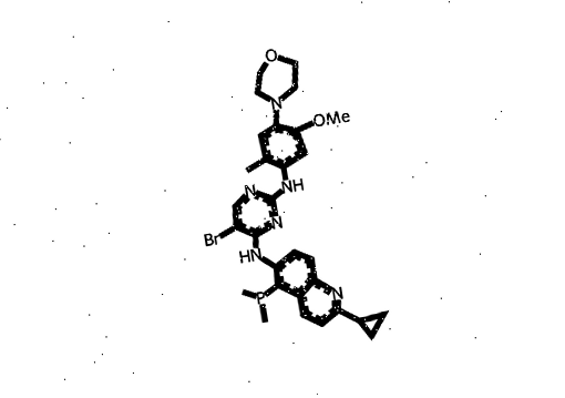 COc1cc(Nc2ncc(Br)c(Nc3ccc4nc(C5CC5)ccc4c3P(C)C)n2)c(C)cc1N1CCOCC1